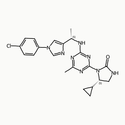 Cc1nc(N[C@@H](C)c2cn(-c3ccc(Cl)cc3)cn2)nc(N2C(=O)NC[C@@H]2C2CC2)n1